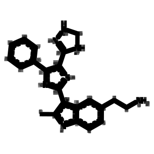 Cc1nc2ccc(CCN)cn2c1-c1nc(-c2ccccc2)c(C2=NNCN2)s1